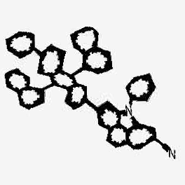 N#Cc1cc2ccc3cc(-c4ccc5c(-c6cccc7ccccc67)c6cc(-c7ccccc7)ccc6c(-c6cccc7ccccc67)c5c4)cc4c3c2c(c1)n4-c1ccccc1